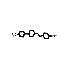 CCCC1CCC(CCC2CCC(c3ccc(C(F)(F)F)cc3)CC2)CC1